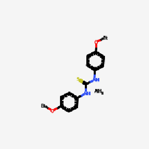 CCOc1ccc(NC(=S)Nc2ccc(OCC)cc2)cc1.[AlH3]